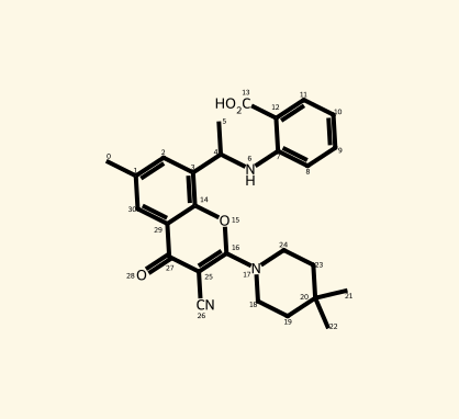 Cc1cc(C(C)Nc2ccccc2C(=O)O)c2oc(N3CCC(C)(C)CC3)c(C#N)c(=O)c2c1